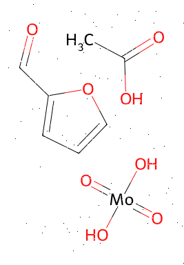 CC(=O)O.O=Cc1ccco1.[O]=[Mo](=[O])([OH])[OH]